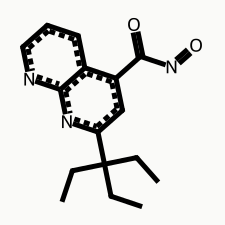 CCC(CC)(CC)c1cc(C(=O)N=O)c2cccnc2n1